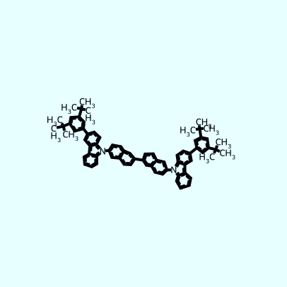 CC(C)(C)c1cc(-c2ccc3c(c2)c2ccccc2n3-c2ccc3cc(-c4ccc5cc(-n6c7ccccc7c7cc(-c8cc(C(C)(C)C)cc(C(C)(C)C)c8)ccc76)ccc5c4)ccc3c2)cc(C(C)(C)C)c1